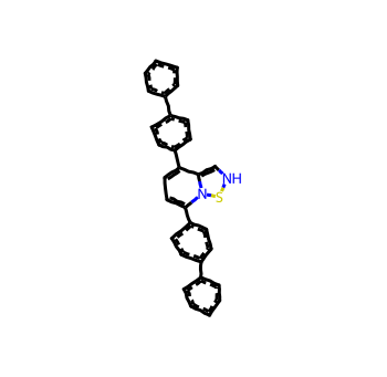 C1=C(c2ccc(-c3ccccc3)cc2)C2=CNSN2C(c2ccc(-c3ccccc3)cc2)=C1